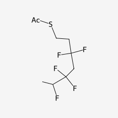 CC(=O)SCCC(F)(F)CC(F)(F)C(C)F